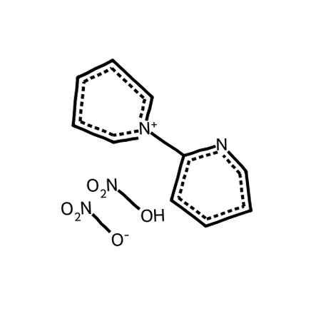 O=[N+]([O-])O.O=[N+]([O-])[O-].c1cc[n+](-c2ccccn2)cc1